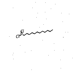 CCCCCCCCCCCCP(Cl)Cl